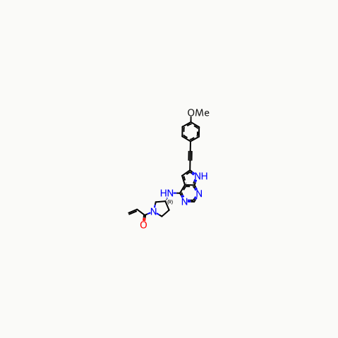 C=CC(=O)N1CC[C@@H](Nc2ncnc3[nH]c(C#Cc4ccc(OC)cc4)cc23)C1